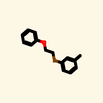 Cc1cccc(SCCOc2ccccc2)c1